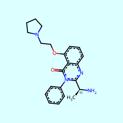 C[C@H](N)c1nc2cccc(OCCN3CCCC3)c2c(=O)n1-c1ccccc1